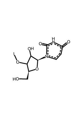 O=c1ccn([C@H]2O[C@@H](CO)C(OI)C2O)c(=O)[nH]1